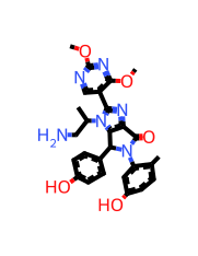 COc1ncc(-c2nc3c(n2C(C)CN)C(c2ccc(O)cc2)N(c2cc(O)ccc2C)C3=O)c(OC)n1